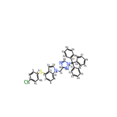 Clc1ccc(Sc2cccc3c2ccn3Cc2ncn(C(c3ccccc3)(c3ccccc3)c3ccccc3)n2)cc1